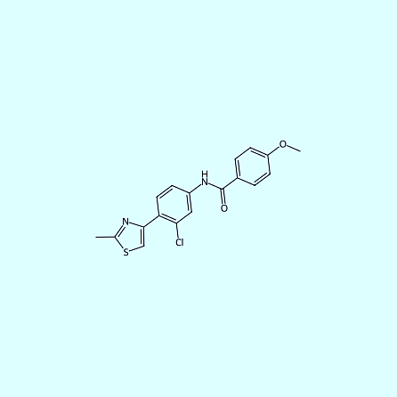 COc1ccc(C(=O)Nc2ccc(-c3csc(C)n3)c(Cl)c2)cc1